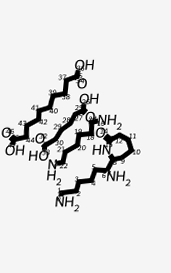 NCCCCCC(N)C1CCCCC(=O)N1.NCCCCCCN.O=C(O)CCCCC(=O)O.O=C(O)CCCCCCCCC(=O)O